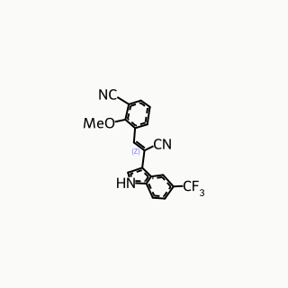 COc1c(C#N)cccc1/C=C(\C#N)c1c[nH]c2ccc(C(F)(F)F)cc12